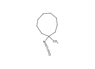 CC1(N=C=O)CCCCCCCC1